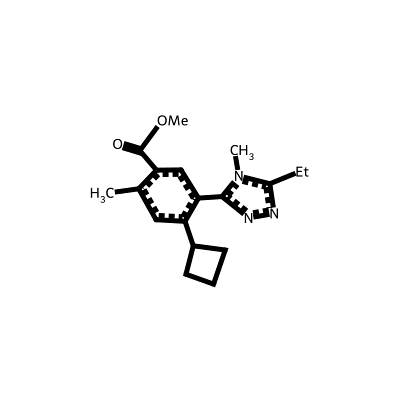 CCc1nnc(-c2cc(C(=O)OC)c(C)cc2C2CCC2)n1C